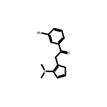 CN(C)C1=C(CC(=O)c2cccc(C(C)(C)C)c2)CC=C1